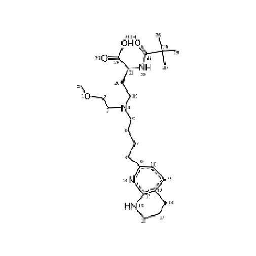 COCCN(CCCCc1ccc2c(n1)NCCC2)CC[C@H](NC(=O)C(C)(C)C)C(=O)O